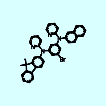 CC1(C)c2ccccc2-c2ccc(N(c3cc(Br)cc(N(c4ccc5ccccc5c4)c4ccccn4)c3)c3ccccn3)cc21